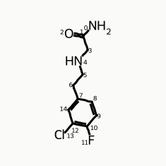 NC(=O)CNC[CH]c1ccc(F)c(Cl)c1